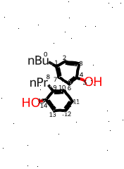 CCCCc1ccc(O)cc1.CCCc1ccccc1O